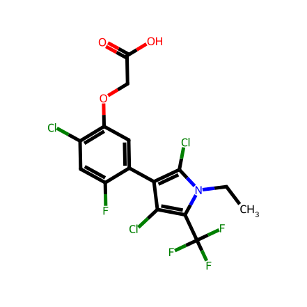 CCn1c(Cl)c(-c2cc(OCC(=O)O)c(Cl)cc2F)c(Cl)c1C(F)(F)F